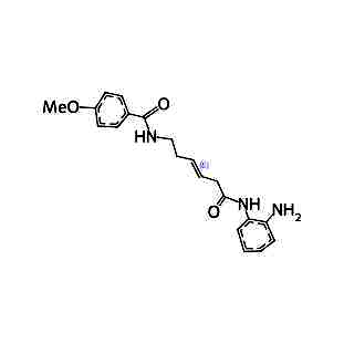 COc1ccc(C(=O)NCC/C=C/CC(=O)Nc2ccccc2N)cc1